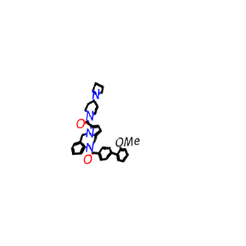 COc1ccccc1-c1ccc(C(=O)N2Cc3ccc(C(=O)N4CCC(N5CCCC5)CC4)n3Cc3ccccc32)cc1